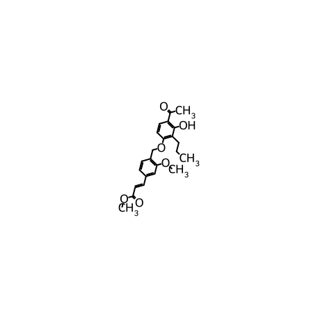 CCCc1c(OCc2ccc(C=CC(=O)OC)cc2OC)ccc(C(C)=O)c1O